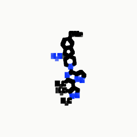 COc1ccc2c(c1)CC1(CCN(c3nc(C)c(-c4cnn(C)c4C)n4nccc34)CC1)[C@@H]2N